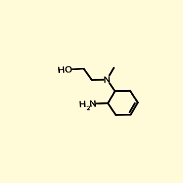 CN(CCO)C1CC=CCC1N